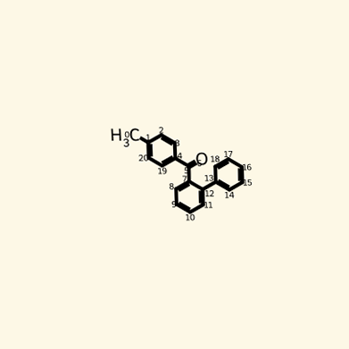 Cc1ccc(C(=O)c2ccccc2-c2ccccc2)cc1